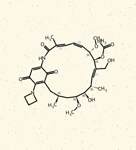 CO[C@H]1/C=C\C=C(/C)C(=O)NC2=CC(=O)C(N3CCC3)=C(C[C@H](C)C[C@H](OC)[C@H](O)[C@@H](C)/C=C(\CO)[C@@H]1OC(N)=O)C2=O